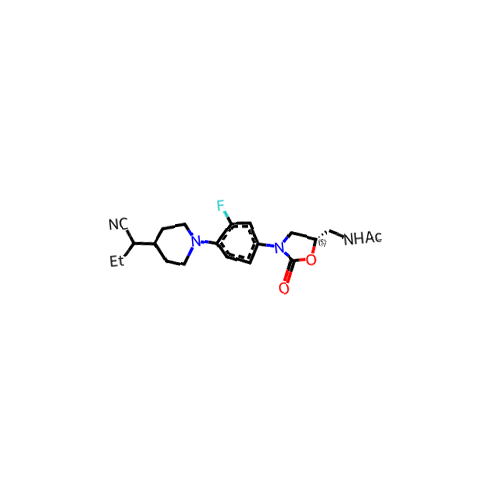 CCC(C#N)C1CCN(c2ccc(N3C[C@H](CNC(C)=O)OC3=O)cc2F)CC1